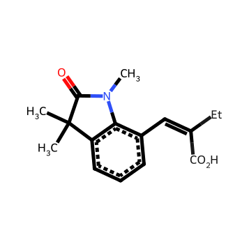 CCC(=Cc1cccc2c1N(C)C(=O)C2(C)C)C(=O)O